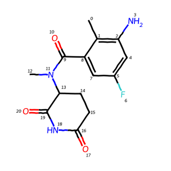 Cc1c(N)cc(F)cc1C(=O)N(C)C1CCC(=O)NC1=O